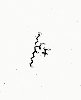 CCCCCCCCCCCCCCCC(=O)N[C@@H](CCCCN)C(=O)OC.O=C(O)C(F)(F)F